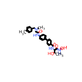 Cc1ccc(CN(C)CC(=O)Nc2ccc(-c3ccc(C(=O)N[C@H](C(=O)NO)[C@@H](C)O)cc3)cc2)cc1